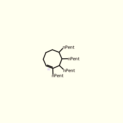 CCCCC/C1=C/CCCC(CCCCC)C(CCCCC)C1CCCCC